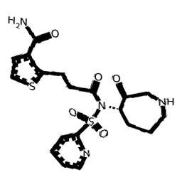 NC(=O)c1ccsc1C[CH]C(=O)N([C@H]1CCCNCC1=O)S(=O)(=O)c1ccccn1